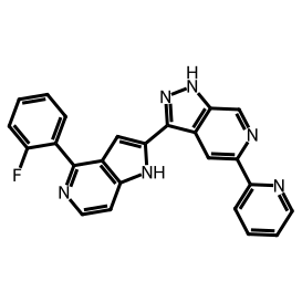 Fc1ccccc1-c1nccc2[nH]c(-c3n[nH]c4cnc(-c5ccccn5)cc34)cc12